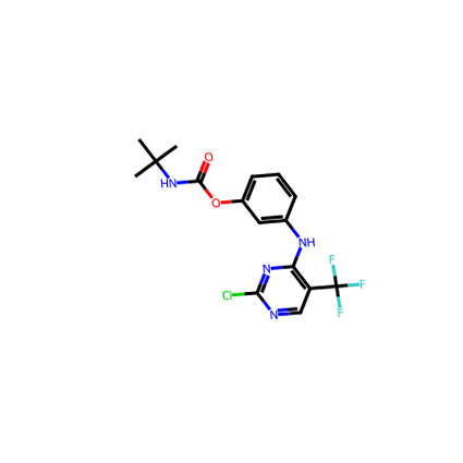 CC(C)(C)NC(=O)Oc1cccc(Nc2nc(Cl)ncc2C(F)(F)F)c1